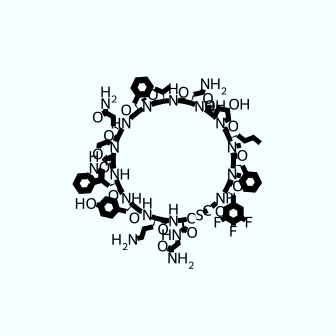 CCCC[C@H]1C(=O)N2C[C@@H](O)C[C@@H]2C(O)N[C@@H](CC(N)=O)C(=O)N[C@@H](C(C)C)C(=O)N(C)[C@@H](Cc2ccccc2)C(=O)N[C@@H](CCC(N)=O)C(=O)N2CCOC[C@@H]2C(=O)N[C@@H](Cc2c[nH]c3ccccc23)C(=O)N[C@@H](Cc2ccc(O)cc2)C(=O)N[C@@H](CCCN)C(=O)N[C@H](C(=O)NCC(N)=O)CSCC(=O)N[C@@H](Cc2cc(F)c(F)c(F)c2)C(=O)N(C)[C@@H](Cc2ccccc2)C(=O)N1C